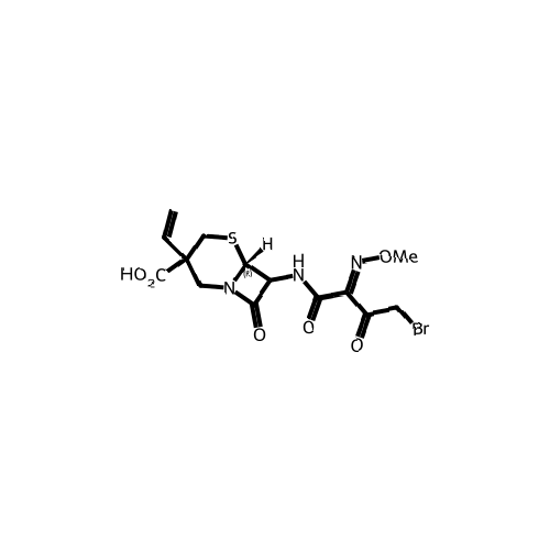 C=CC1(C(=O)O)CS[C@@H]2C(NC(=O)C(=NOC)C(=O)CBr)C(=O)N2C1